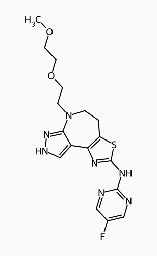 COCCOCCN1CCc2sc(Nc3ncc(F)cn3)nc2-c2c[nH]nc21